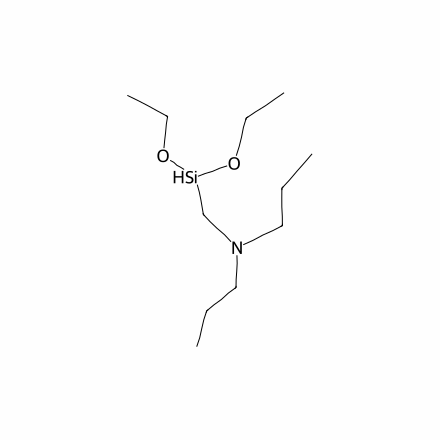 CCCN(CCC)C[SiH](OCC)OCC